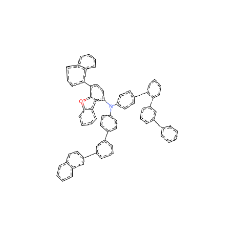 c1ccc(-c2cccc(-c3ccccc3-c3ccc(N(c4ccc(-c5cccc(-c6ccc7ccccc7c6)c5)cc4)c4ccc(-c5cccc6ccccc56)c5oc6ccccc6c45)cc3)c2)cc1